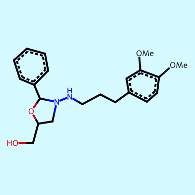 COc1ccc(CCCNN2CC(CO)OC2c2ccccc2)cc1OC